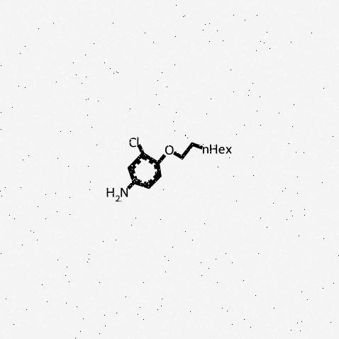 CCCCCCCCOc1ccc(N)cc1Cl